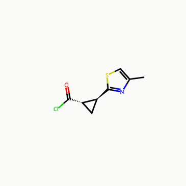 Cc1csc([C@H]2C[C@@H]2C(=O)Cl)n1